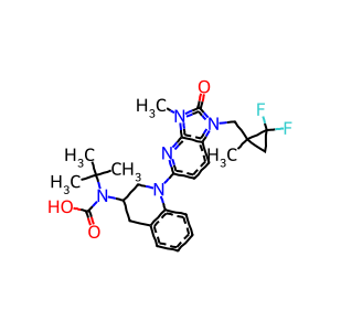 Cn1c(=O)n(CC2(C)CC2(F)F)c2ccc(N3CC(N(C(=O)O)C(C)(C)C)Cc4ccccc43)nc21